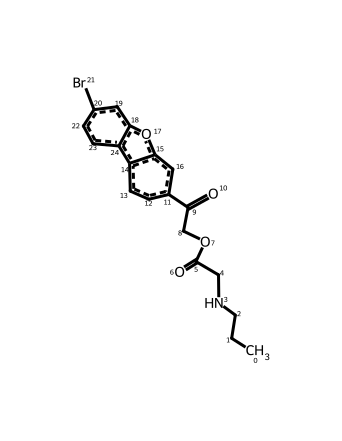 CCCNCC(=O)OCC(=O)c1ccc2c(c1)oc1cc(Br)ccc12